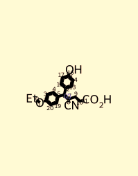 CCOc1ccc(/C(=C(\C#N)CCC(=O)O)c2ccc(O)cc2)cc1